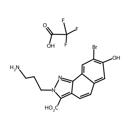 NCCCn1nc2c(ccc3cc(O)c(Br)cc32)c1C(=O)O.O=C(O)C(F)(F)F